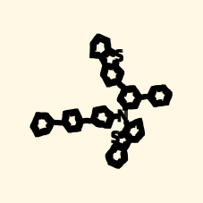 c1ccc(-c2ccc(-c3ccc(N(c4cc(-c5ccccc5)cc(-c5ccc6c(c5)sc5ccccc56)c4)c4cccc5c4sc4ccccc45)cc3)cc2)cc1